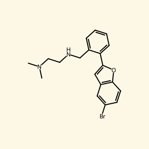 CN(C)CCNCc1ccccc1-c1cc2cc(Br)ccc2o1